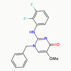 COc1cn(Cc2ccccc2)c(Nc2cccc(F)c2F)nc1=O